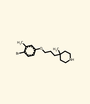 Cc1cc(OCCCC2(C)CCNCC2)ccc1Br